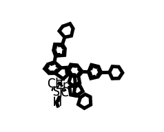 CCC[SiH](C)[Zr]([Cl])([Cl])([CH]1C(CC2CCCCC2)=Cc2c(-c3ccc(C4CCCCC4)cc3)cccc21)[CH]1C(CC2CCCCC2)=Cc2c(-c3ccc(C4CCCCC4)cc3)cccc21